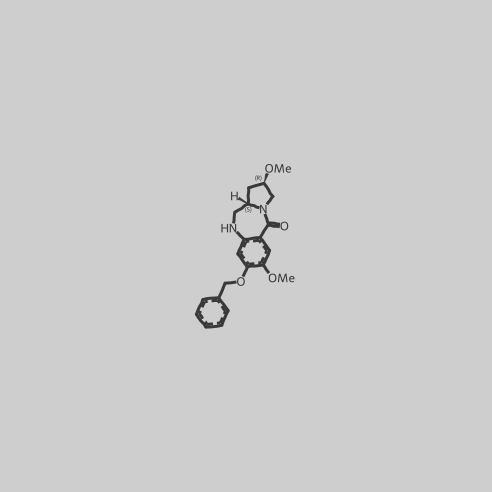 COc1cc2c(cc1OCc1ccccc1)NC[C@@H]1C[C@@H](OC)CN1C2=O